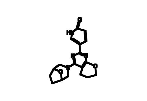 O=c1ccc(-c2nc3c(c(N4CC5CCC(C4)O5)n2)CCCO3)c[nH]1